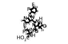 Cc1nc2c(cc1F)c(-c1nc3c(c(C(=O)NCC(C)(CC(F)F)NC(=O)O)n1)C(C)(C)C(=O)N3)nn2Cc1cccc(F)c1F